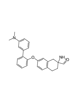 CN(C)c1cccc(-c2ccccc2Oc2ccc3c(c2)CC(N)(C=O)CC3)c1